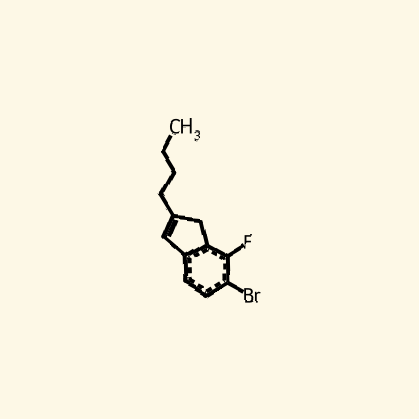 CCCCC1=Cc2ccc(Br)c(F)c2C1